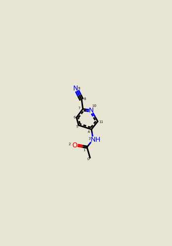 CC(=O)Nc1ccc(C#N)nc1